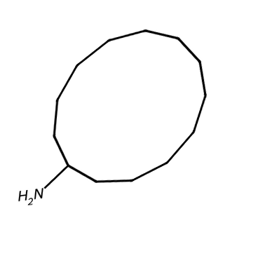 NC1CCCCCCCCCCCC1